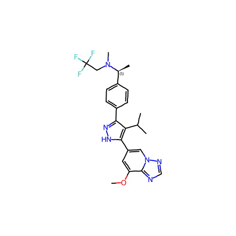 COc1cc(-c2[nH]nc(-c3ccc([C@H](C)N(C)CC(F)(F)F)cc3)c2C(C)C)cn2ncnc12